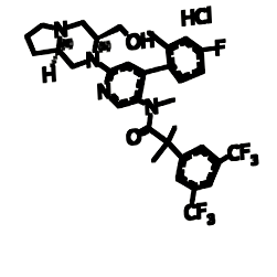 Cc1cc(F)ccc1-c1cc(N2C[C@H]3CCCN3C[C@H]2CO)ncc1N(C)C(=O)C(C)(C)c1cc(C(F)(F)F)cc(C(F)(F)F)c1.Cl